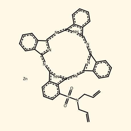 C=CCN(CC=C)S(=O)(=O)c1cccc2c3nc4nc(nc5[nH]c(nc6nc(nc([nH]3)c12)-c1ccccc1-6)c1ccccc51)-c1ccccc1-4.[Zn]